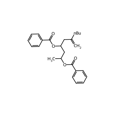 C=C(CCCC)CC(CC(C)OC(=O)c1ccccc1)OC(=O)c1ccccc1